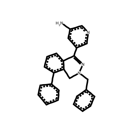 Nc1cncc(C2=NN(Cc3ccccc3)Cc3c2cccc3-c2ccccc2)c1